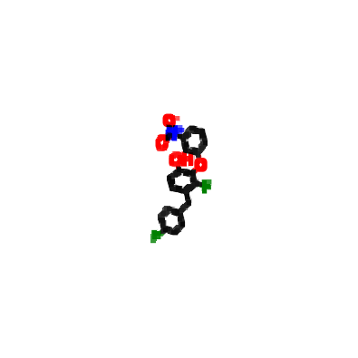 O=[N+]([O-])c1cccc(Oc2c(O)ccc(Cc3ccc(F)cc3)c2F)c1